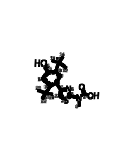 CN(C(=O)O)c1nc(-c2cc(C(C)(C)C)c(O)cc2C(C)(C)C)cs1